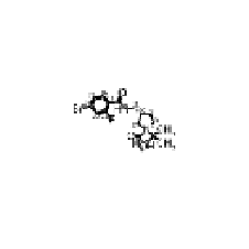 CC(C)(C)[N+]1(C(=O)O)CC[C@@H](CNC(=O)c2ccc(Br)cc2F)C1